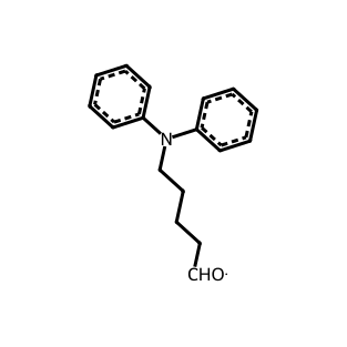 O=[C]CCCCN(c1ccccc1)c1ccccc1